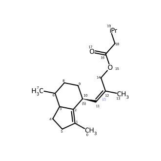 CC1=C2C(CC1)C(C)CC[C@H]2/C=C(/C)COC(=O)CC(C)C